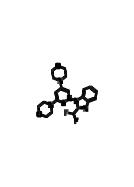 FC(F)c1nc2ccccc2n1N1C=C(N2CCOCC2)C=C(N2CCOCC2)S1